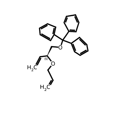 C=CCO[C@@H](C=C)COC(c1ccccc1)(c1ccccc1)c1ccccc1